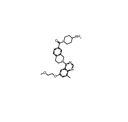 COCCOc1cc(C)c2ncnc(N3CCc4ccc(C(=O)N5CCC(N)CC5)cc4C3)c2c1